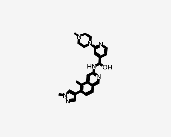 Cc1c(-c2cnn(C)c2)ccc2cnc(NC(O)c3ccnc(N4CCN(C)CC4)c3)cc12